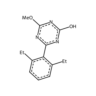 CCc1cccc(CC)c1-c1nc(O)nc(OC)n1